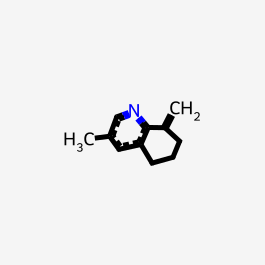 C=C1CCCc2cc(C)cnc21